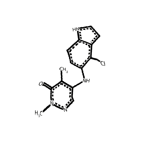 Cc1c(Nc2ccc3[nH]ccc3c2Cl)cnn(C)c1=O